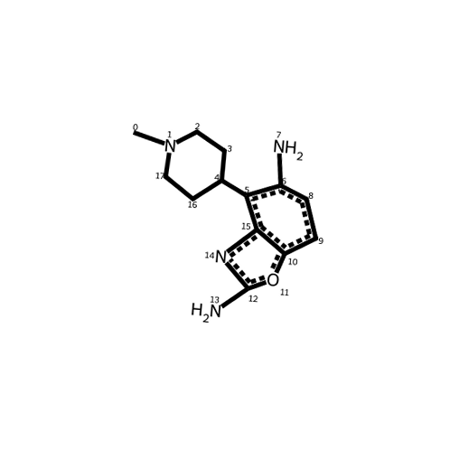 CN1CCC(c2c(N)ccc3oc(N)nc23)CC1